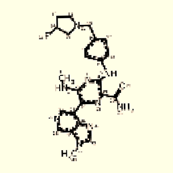 CNc1nc(Nc2ccc(CN3CCC(F)C3)cc2)c(C(N)=O)nc1-c1cncc2c1ncn2C